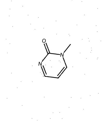 Cn1cc[c]nc1=O